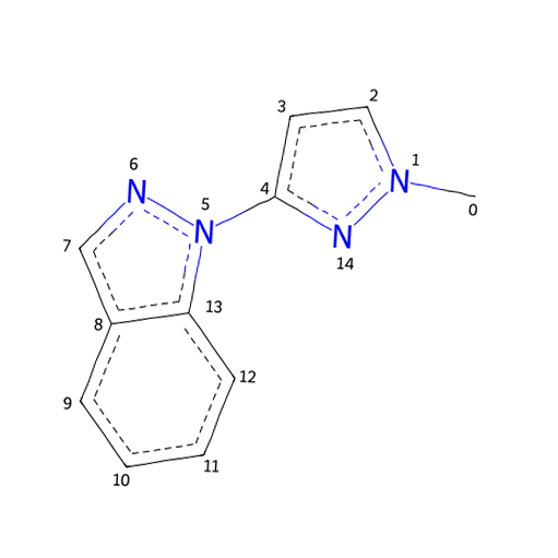 Cn1ccc(-n2ncc3ccccc32)n1